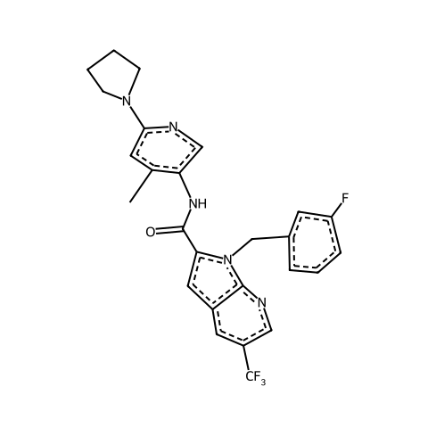 Cc1cc(N2CCCC2)ncc1NC(=O)c1cc2cc(C(F)(F)F)cnc2n1Cc1cccc(F)c1